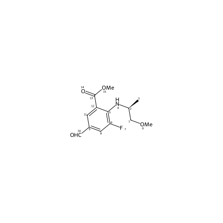 COC[C@H](C)Nc1c(F)cc(C=O)cc1C(=O)OC